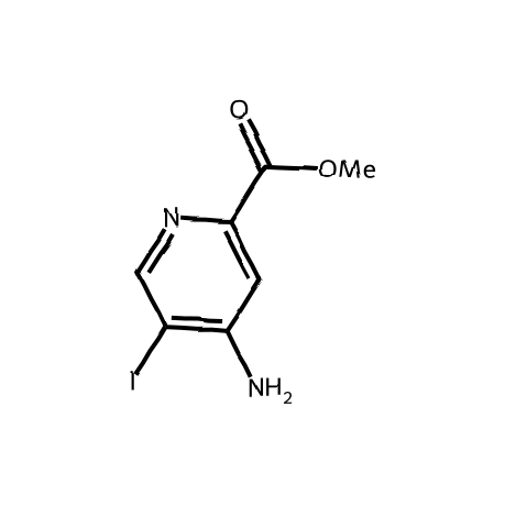 COC(=O)c1cc(N)c(I)cn1